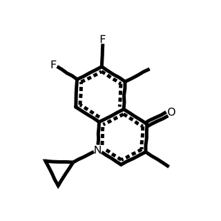 Cc1cn(C2CC2)c2cc(F)c(F)c(C)c2c1=O